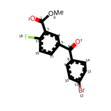 COC(=O)c1cc(C(=O)c2ccc(Br)cc2)ccc1F